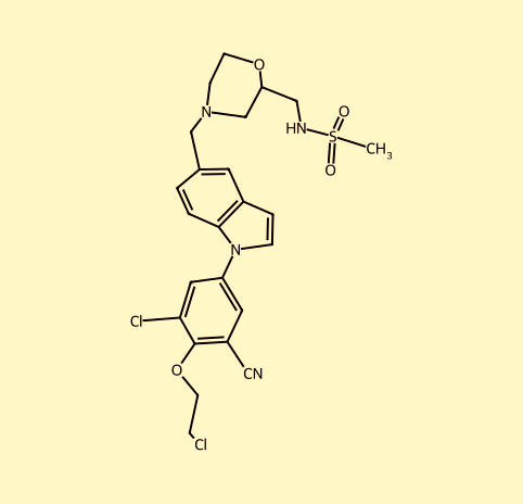 CS(=O)(=O)NCC1CN(Cc2ccc3c(ccn3-c3cc(Cl)c(OCCCl)c(C#N)c3)c2)CCO1